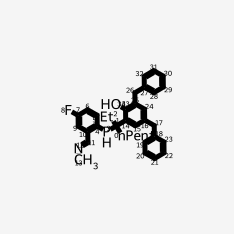 CCCCCC(CC)(Pc1ccc(F)cc1/C=N/C)c1cc(Cc2ccccc2)cc(Cc2ccccc2)c1O